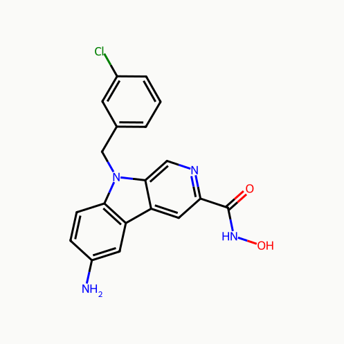 Nc1ccc2c(c1)c1cc(C(=O)NO)ncc1n2Cc1cccc(Cl)c1